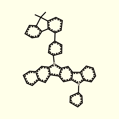 CC1(C)c2ccccc2-c2c(-c3ccc(-n4c5cc6ccccc6cc5c5cc6c(cc54)c4ccccc4n6-c4ccccc4)cc3)cccc21